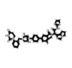 O=C1CCN(c2ccccc2CN2C[C@H]3C[C@@H]2CN3c2ccc(-c3cc(F)c4c(c3)C(=O)N(C(C(=O)Nc3nccs3)c3ncn5c3CCC5)C4)cc2)C(=O)N1